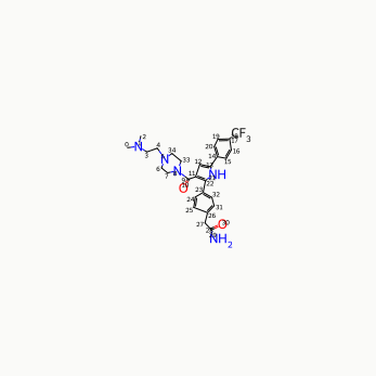 CN(C)CCN1CCN(C(=O)c2cc(-c3ccc(C(F)(F)F)cc3)[nH]c2-c2ccc(CC(N)=O)cc2)CC1